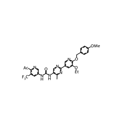 CCOc1cc(-c2ncc(NC(=O)Nc3cnc(C(C)=O)c(C(F)(F)F)c3)c(C)n2)cnc1OCc1ccc(OC)cc1